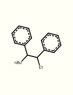 CCCCC(c1ccccc1)C(CC)c1ccccc1